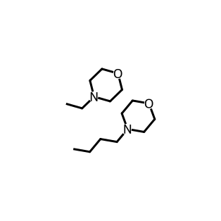 CCCCN1CCOCC1.CCN1CCOCC1